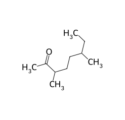 CCC(C)CCC(C)C(C)=O